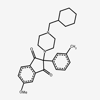 COc1ccc2c(c1)C(=O)C(c1cccc(C)c1)(N1CCN(CC3CCCCC3)CC1)C2=O